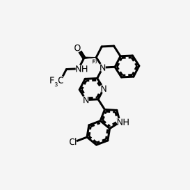 O=C(NCC(F)(F)F)[C@H]1CCc2ccccc2N1c1ccnc(-c2c[nH]c3ccc(Cl)cc23)n1